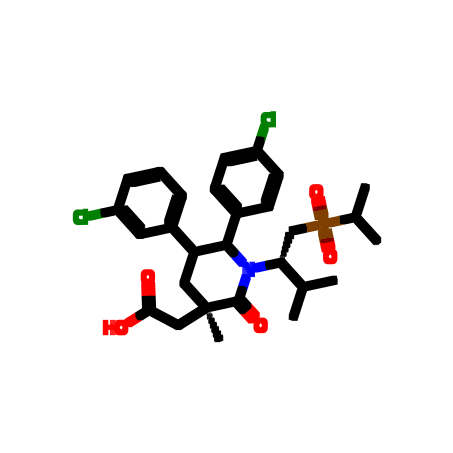 CC(C)[C@@H](CS(=O)(=O)C(C)C)N1C(=O)[C@@](C)(CC(=O)O)CC(c2cccc(Cl)c2)C1c1ccc(Cl)cc1